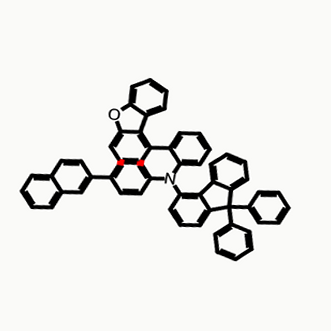 c1ccc(C2(c3ccccc3)c3ccccc3-c3c(N(c4ccc(-c5ccc6ccccc6c5)cc4)c4ccccc4-c4cccc5oc6ccccc6c45)cccc32)cc1